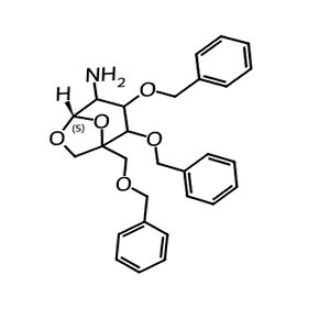 NC1C(OCc2ccccc2)C(OCc2ccccc2)C2(COCc3ccccc3)CO[C@H]1O2